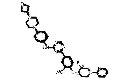 N#Cc1cc(-c2ncnc(Nc3ccc(N4CCN(C5COC5)CC4)cc3)n2)ccc1O[C@H]1CCN(c2ccccn2)C[C@@H]1F